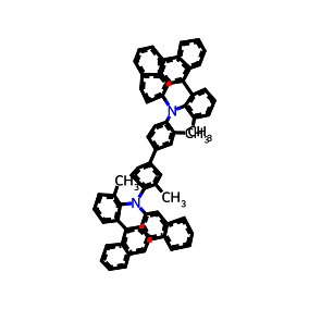 Cc1cc(-c2ccc(N(c3ccc4ccccc4c3)c3c(C)cccc3-c3cccc4ccccc34)c(C)c2)ccc1N(c1ccc2ccccc2c1)c1c(C)cccc1-c1cccc2ccccc12